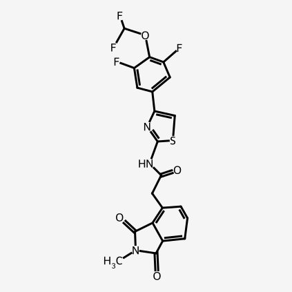 CN1C(=O)c2cccc(CC(=O)Nc3nc(-c4cc(F)c(OC(F)F)c(F)c4)cs3)c2C1=O